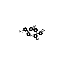 [C-]#[N+]c1cccc(N(c2cccc(C#N)c2)c2ccc3c(c2)c2cc(N(c4cccc(C#N)c4)c4cccc([N+]#[C-])c4)ccc2n3CC)c1